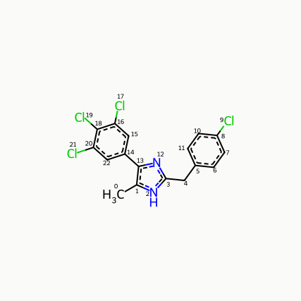 Cc1[nH]c(Cc2ccc(Cl)cc2)nc1-c1cc(Cl)c(Cl)c(Cl)c1